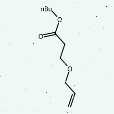 C=CCOCCC(=O)OCCCC